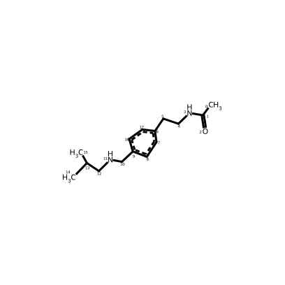 CC(=O)NCCc1ccc(CNCC(C)C)cc1